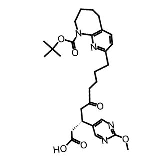 COc1ncc([C@H](CC(=O)O)CC(=O)CCCCc2ccc3c(n2)N(C(=O)OC(C)(C)C)CCCC3)cn1